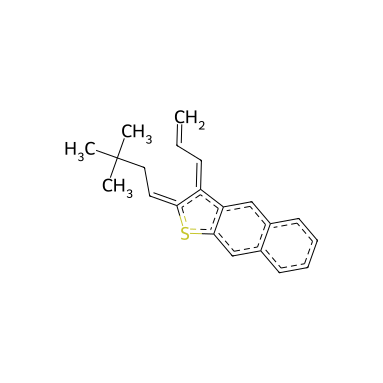 C=C/C=c1\c(=C/CC(C)(C)C)sc2cc3ccccc3cc12